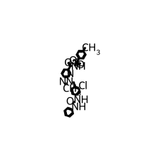 Cc1ccc(S(=O)(=O)NC(=O)c2ccc3nc(C)n(Cc4ccc(NC(=O)Nc5ccccc5)cc4Cl)c3n2)cc1